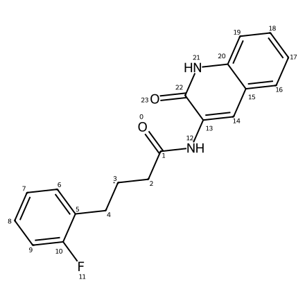 O=C(C[CH]Cc1ccccc1F)Nc1cc2ccccc2[nH]c1=O